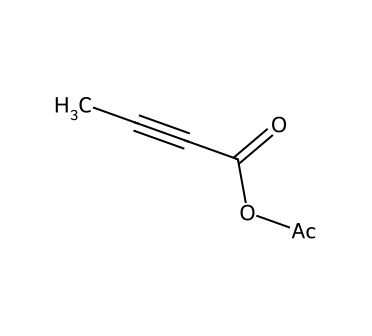 CC#CC(=O)OC(C)=O